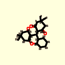 CC1(C)CC(=O)C(C2C3=C(CC(C)(C)CC3=O)OC3CCCCC32)C(=O)C1